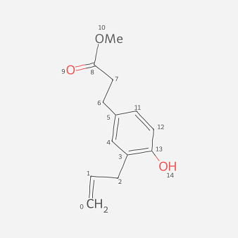 C=CCc1cc(CCC(=O)OC)ccc1O